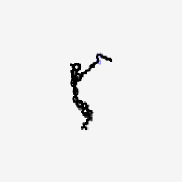 CCCCC/C=C\C/C=C\CCCCCCCCOCC(CN1CC2CCCC(C)C2C1)OCCOCCO[C@H]1CC[C@@]2(C)C(=CCC3C2CC[C@@]2(C)C3CC[C@@H]2[C@H](C)CCCC(C)C)C1